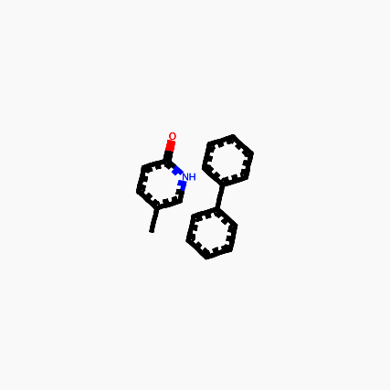 Cc1ccc(=O)[nH]c1.c1ccc(-c2ccccc2)cc1